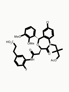 COc1cccc([C@H]2O[C@H](CC(=O)Nc3cc(CCC(=O)O)ccc3F)C(=O)N(CC(C)(C)COC(C)=O)c3ccc(Cl)cc32)c1OC